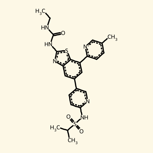 CCNC(=O)Nc1nc2cc(-c3ccc(NS(=O)(=O)C(C)C)nc3)cc(-c3ccc(C)cn3)c2s1